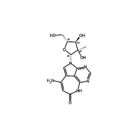 C[C@@]1(O)[C@H](O)[C@@H](CO)O[C@H]1n1cc2c3c(ncnc31)NC(=O)C=C2N